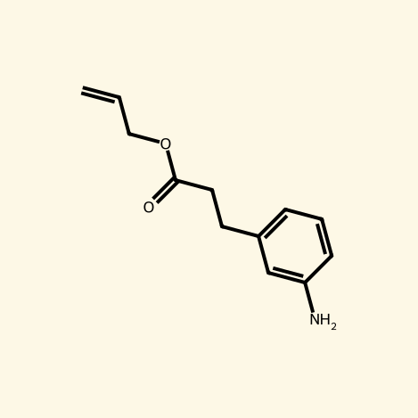 C=CCOC(=O)CCc1cccc(N)c1